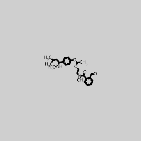 CNC(CC(C)C)c1ccc(OC(C)OCCN(C)C(=O)c2ccccc2C=O)cc1